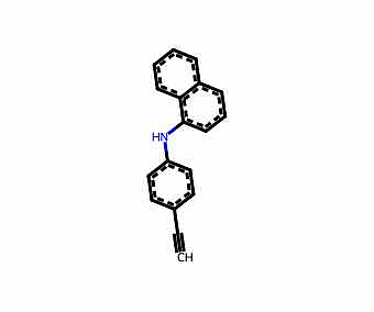 C#Cc1ccc(Nc2cccc3ccccc23)cc1